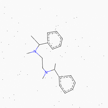 CC(c1ccccc1)N(C)CCN(C)C(C)c1ccccc1